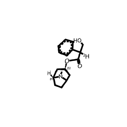 [2H]C(CO)(C(=O)O[C@H]1CC2CC[C@H](C1)N2C)c1ccccc1